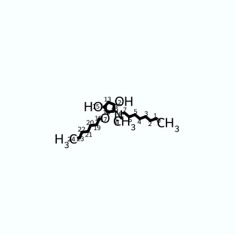 CCCCCCCCN(C)C1C(O)CC(O)C1OCCCCCCC